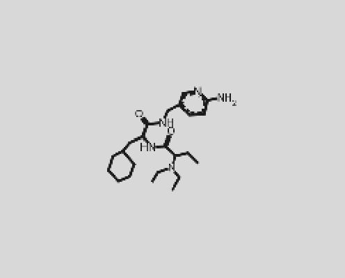 CCC(C(=O)NC(CC1CCCCC1)C(=O)NCc1ccc(N)nc1)N(CC)CC